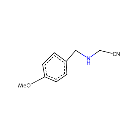 COc1ccc(CNCC#N)cc1